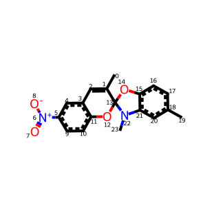 CC1=Cc2cc([N+](=O)[O-])ccc2OC12Oc1ccc(C)cc1N2C